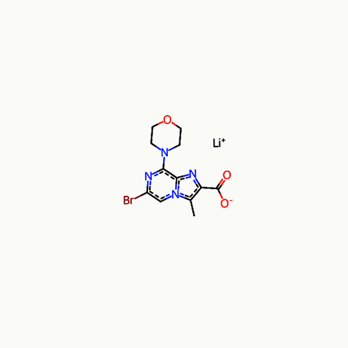 Cc1c(C(=O)[O-])nc2c(N3CCOCC3)nc(Br)cn12.[Li+]